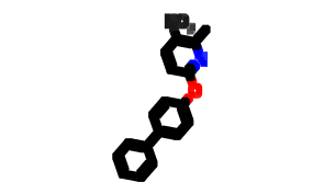 Cc1nc(Oc2ccc(-c3ccccc3)cc2)ccc1[N+](=O)[O-]